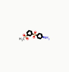 CS(=O)(=O)c1cccc(S(=O)(=O)c2ccc(N)cc2)c1